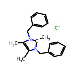 Cc1c(C)n(Cc2ccccc2)[c+](C)n1Cc1ccccc1.[Cl-]